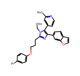 COCn1c(CCCOc2ccc(C(C)C)cc2)nc(-c2ccc3ccoc3c2)c1-c1ccnc(SC)c1